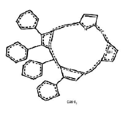 C1=Cc2cc3[nH]c(c(-c4ccccc4)c4nc(cc5ccc(cc1n2)[nH]5)C=C4c1ccccc1)c(-c1ccccc1)c3-c1ccccc1.[GaH3]